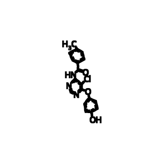 Cc1ccc(C(=O)Nc2ncnc(Oc3ccc(O)cc3)c2Cl)cc1